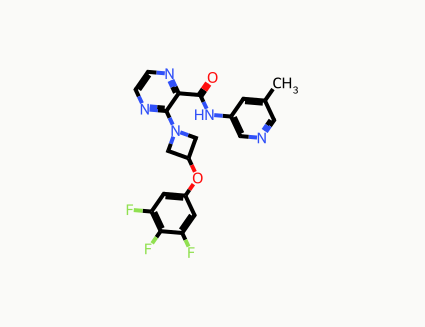 Cc1cncc(NC(=O)c2nccnc2N2CC(Oc3cc(F)c(F)c(F)c3)C2)c1